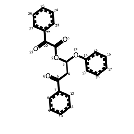 O=C(OC(CC(=O)c1ccccc1)Oc1ccccc1)C(=O)c1ccccc1